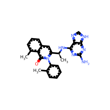 Cc1ccccc1-n1c([C@H](C)Nc2nc(N)nc3[nH]cnc23)cc2cccc(C)c2c1=O